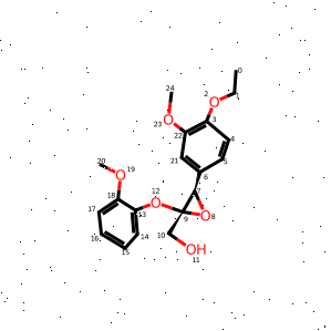 CCOc1ccc([C@H]2O[C@]2(CO)Oc2ccccc2OC)cc1OC